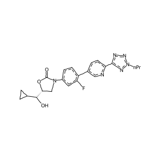 CCCn1nnc(-c2ccc(-c3ccc(N4C[C@H](C(O)C5CC5)OC4=O)cc3F)cn2)n1